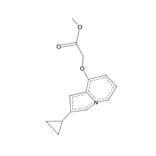 COC(=O)COc1cccn2cc(C3CC3)cc12